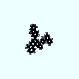 CC1(C)c2ccccc2-c2c(-c3ccccc3N(c3ccc(-c4cccc5ccccc45)cc3)c3cccc(-c4ccc5c(c4)oc4ccccc45)c3)cccc21